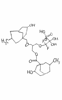 CC1CC2CC(O)CC(COC(COC(=O)C34CC(C)CC(CC(O)C3)C4)COC(F)(F)C(O)(O)S(=O)(=O)O)(C1)C2